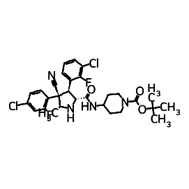 C[C@@H]1N[C@@H](C(=O)NC2CCN(C(=O)OC(C)(C)C)CC2)[C@H](c2cccc(Cl)c2F)[C@@]1(C#N)c1ccc(Cl)cc1F